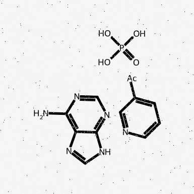 CC(=O)c1cccnc1.Nc1ncnc2[nH]cnc12.O=P(O)(O)O